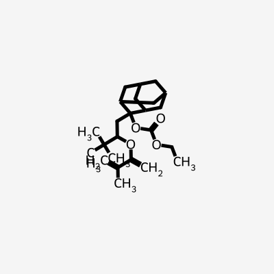 C=C(C)C(=C)OC(CC1(OC(=O)OCC)C2CC3CC(C2)CC1C3)C(C)(C)C